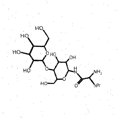 CCCC(N)C(=O)NC1OC(CO)C(OC2OC(CO)C(O)C(O)C2O)C(O)C1O